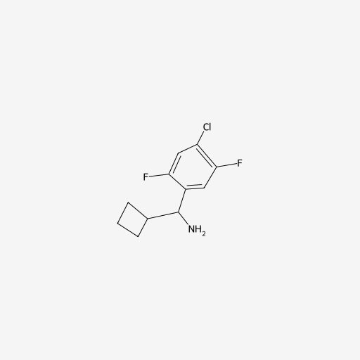 NC(c1cc(F)c(Cl)cc1F)C1CCC1